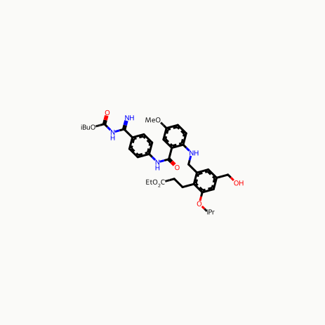 CCOC(=O)CCc1c(CNc2ccc(OC)cc2C(=O)Nc2ccc(C(=N)NC(=O)OCC(C)C)cc2)cc(CO)cc1OC(C)C